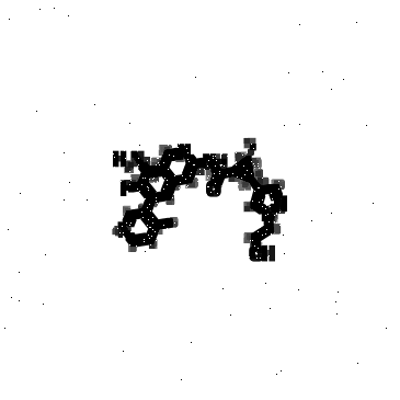 Cc1ccncc1-c1cc2cc(NC(=O)C3[C@H](C)[C@H]3c3cnn(CCO)c3)ncc2c(N)c1F